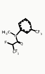 CN(C(=O)C(F)C(F)(F)F)c1cccc(C(F)(F)F)c1